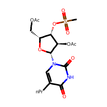 CCCc1cn([C@@H]2O[C@H](COC(C)=O)[C@H](OS(C)(=O)=O)[C@H]2OC(C)=O)c(=O)[nH]c1=O